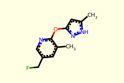 Cc1cc(Oc2ncc(CF)cc2C)n[nH]1